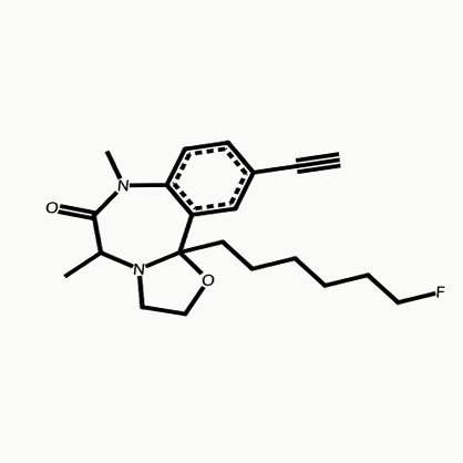 C#Cc1ccc2c(c1)C1(CCCCCCF)OCCN1C(C)C(=O)N2C